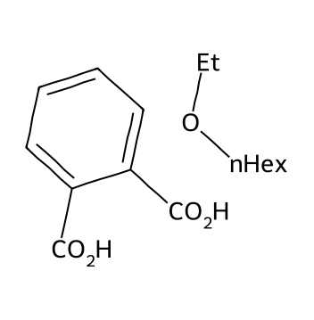 CCCCCCOCC.O=C(O)c1ccccc1C(=O)O